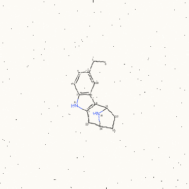 CCc1ccc2[nH]c3c(c2c1)C1CCC(C3)N1